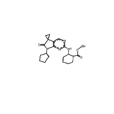 CC(C)(C)OC(=O)N1CCCCC1Nc1ncc2c(n1)N(C1CCCC1)C(=O)C21CC1